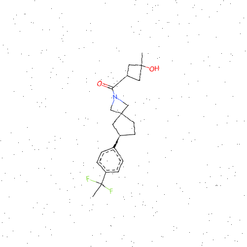 CC1(O)CC(C(=O)N2CC3(CC[C@@H](c4ccc(C(C)(F)F)cc4)C3)C2)C1